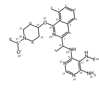 Cc1cccc2cc(C(C)Nc3ncnc(N)c3NF)nc(OC3CCN([S+](C)[O-])CC3)c12